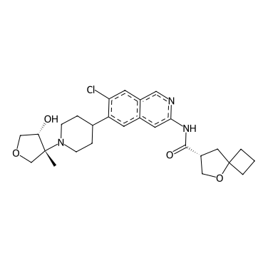 C[C@@]1(N2CCC(c3cc4cc(NC(=O)[C@H]5COC6(CCC6)C5)ncc4cc3Cl)CC2)COC[C@@H]1O